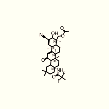 CC(=O)OC[C@]1(C)C(O)C(C#N)=C[C@]2(C)C3=CC(=O)C4C5CC(C)(C)CC[C@]5(NC(=O)C(C)(F)F)CC[C@@]4(C)[C@]3(C)CCC12